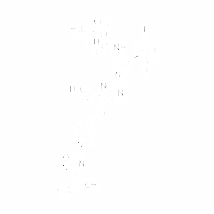 COc1nc(N2C[C@H](NC(=O)OC(C)(C)C)[C@@H](c3cc(F)ccc3F)C2)ncc1OCC1CCN(c2nc(C(C)C)no2)CC1